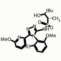 COC1=NC(c2nnc(NS(=O)(=O)[C@@H](C)[C@@H](O)C(C)(C)C)n2-c2c(O)cccc2OC)=C=C=C1